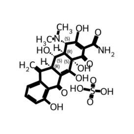 C=C1c2cccc(O)c2C(=O)C2=C(O)[C@]3(O)C(=O)C(C(N)=O)=C(O)[C@@H](N(C)C)[C@@H]3[C@@H](O)[C@H]12.O=S(=O)(O)O